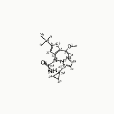 COC(=O)c1sc(C(C)(C)C)cc1N(C(N)=O)N1N=CC=S1C1CC1